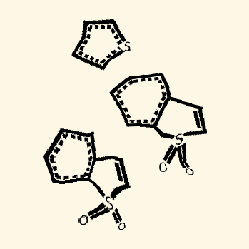 O=S1(=O)C=Cc2ccccc21.O=S1(=O)C=Cc2ccccc21.c1ccsc1